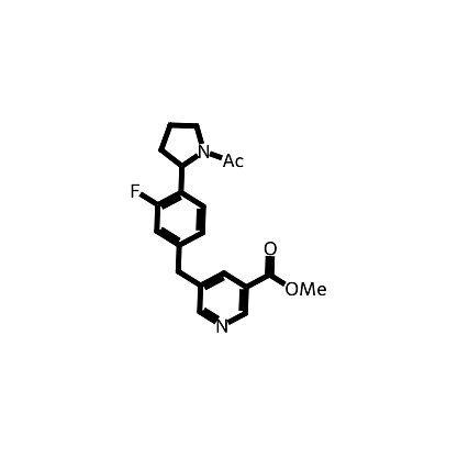 COC(=O)c1cncc(Cc2ccc(C3CCCN3C(C)=O)c(F)c2)c1